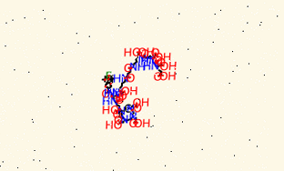 CC(C)(C)[Si](F)(c1ccc(C(=O)NC[C@@H](NC(=O)CC[C@H](C(=O)O)N2CCN(CC(=O)O)CCN(CC(=O)O)CCN(CC(=O)O)CC2)C(=O)N[C@H](CCCCNC(=O)CCC(=O)NCCC[C@H](NC(=O)CC[C@H](NC(=O)N[C@@H](CCC(=O)O)C(=O)O)C(=O)O)C(O)O)C(=O)O)cc1)C(C)(C)C